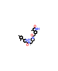 Cc1ccc(-c2ccc(C(=O)N[C@@H](C)CC3CCN(C(=O)Cc4ccc5[nH]c(=O)cc(C)c5c4)CC3)nc2)c(C)c1